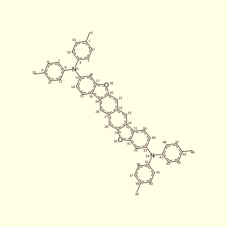 Cc1ccc(N(c2ccc(C)cc2)c2ccc3c(c2)oc2cc4cc5c(cc4cc23)oc2cc(N(c3ccc(C)cc3)c3ccc(C)cc3)ccc25)cc1